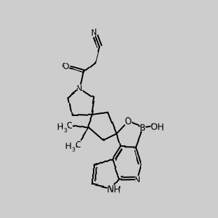 CC1(C)CC2(CC13CCN(C(=O)CC#N)C3)OB(O)c1cnc3[nH]ccc3c12